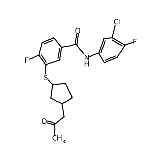 CC(=O)CC1CCC(Sc2cc(C(=O)Nc3ccc(F)c(Cl)c3)ccc2F)C1